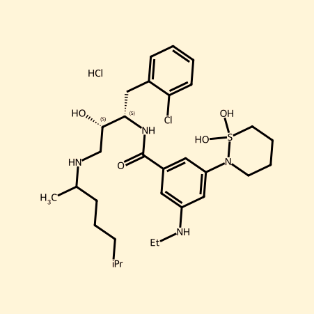 CCNc1cc(C(=O)N[C@@H](Cc2ccccc2Cl)[C@@H](O)CNC(C)CCCC(C)C)cc(N2CCCCS2(O)O)c1.Cl